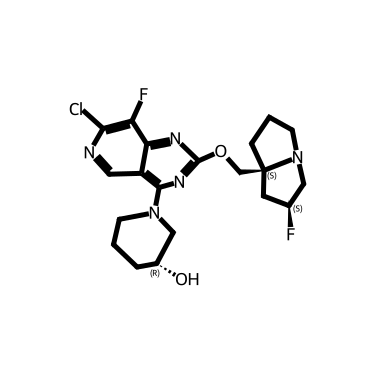 O[C@@H]1CCCN(c2nc(OC[C@@]34CCCN3C[C@@H](F)C4)nc3c(F)c(Cl)ncc23)C1